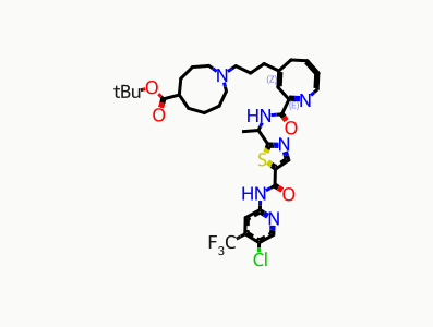 CC(NC(=O)C1=N/C=C=CC/C(CCCN2CCCCC(C(=O)OC(C)(C)C)CCC2)=C\1)c1ncc(C(=O)Nc2cc(C(F)(F)F)c(Cl)cn2)s1